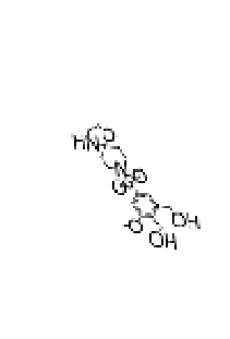 COc1cc(S(=O)(=O)N2CCC3(CC2)NCCO3)cc(CO)c1CO